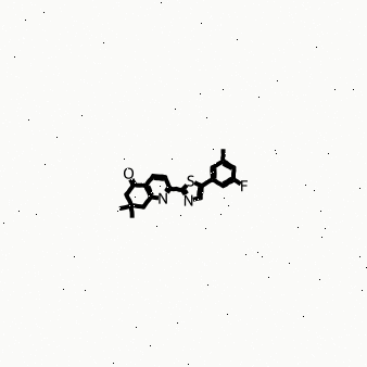 Cc1cc(F)cc(-c2cnc(-c3ccc4c(n3)CC(C)(C)CC4=O)s2)c1